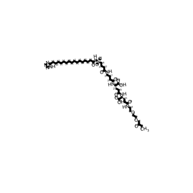 CCC(=O)COCCOCCNC(=O)CC[C@H](NC(=O)CC[C@H](NC(=O)CCCNC(=O)CCCS(=O)(=O)NC(=O)CCCCCCCCCCCCCCCc1nnn[nH]1)C(=O)O)C(=O)O